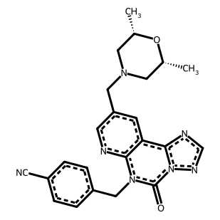 C[C@@H]1CN(Cc2cnc3c(c2)c2ncnn2c(=O)n3Cc2ccc(C#N)cc2)C[C@H](C)O1